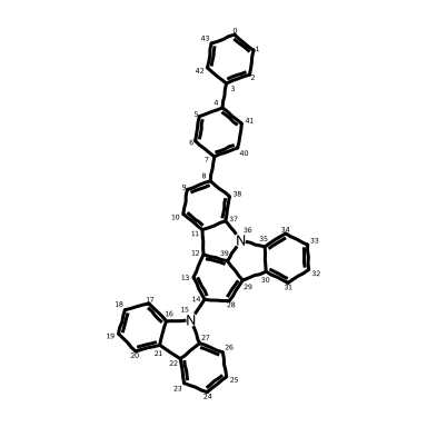 c1ccc(-c2ccc(-c3ccc4c5cc(-n6c7ccccc7c7ccccc76)cc6c7ccccc7n(c4c3)c65)cc2)cc1